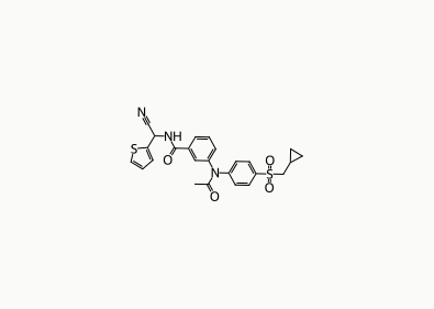 CC(=O)N(c1ccc(S(=O)(=O)CC2CC2)cc1)c1cccc(C(=O)NC(C#N)c2cccs2)c1